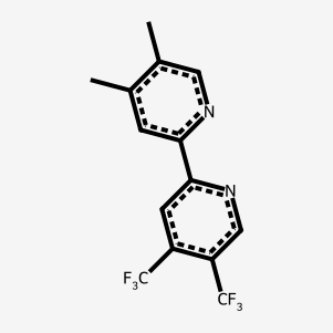 Cc1cnc(-c2cc(C(F)(F)F)c(C(F)(F)F)cn2)cc1C